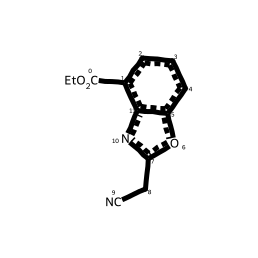 CCOC(=O)c1cccc2oc(CC#N)nc12